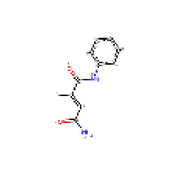 CC(=CC(N)=O)C(=O)Nc1ccccc1